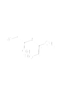 CC(CO)CC(O)CF